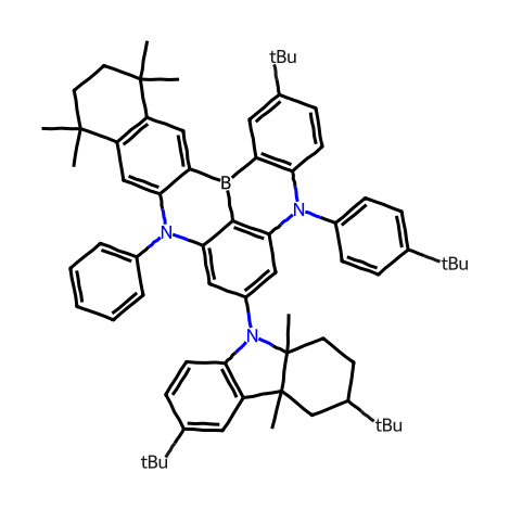 CC(C)(C)c1ccc(N2c3ccc(C(C)(C)C)cc3B3c4cc5c(cc4N(c4ccccc4)c4cc(N6c7ccc(C(C)(C)C)cc7C7(C)CC(C(C)(C)C)CCC67C)cc2c43)C(C)(C)CCC5(C)C)cc1